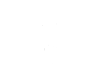 COc1cccc(NC(=O)OCc2ncc(C)c(OC)c2C)c1